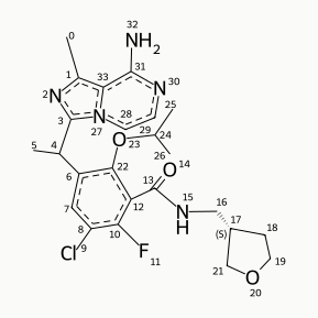 Cc1nc(C(C)c2cc(Cl)c(F)c(C(=O)NC[C@@H]3CCOC3)c2OC(C)C)n2ccnc(N)c12